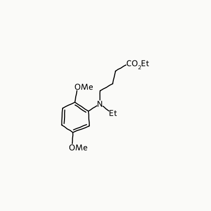 CCOC(=O)CCCN(CC)c1cc(OC)ccc1OC